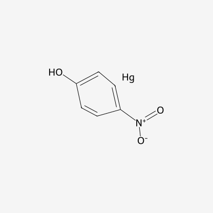 O=[N+]([O-])c1ccc(O)cc1.[Hg]